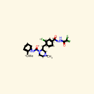 COc1ccccc1NC(=O)N1CCN(C)CC1Cc1ccc(C(=O)NNC(=O)C(F)F)cc1F